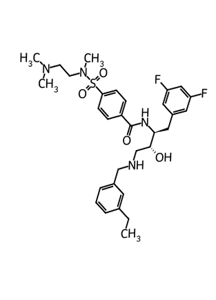 CCc1cccc(CNC[C@@H](O)[C@H](Cc2cc(F)cc(F)c2)NC(=O)c2ccc(S(=O)(=O)N(C)CCN(C)C)cc2)c1